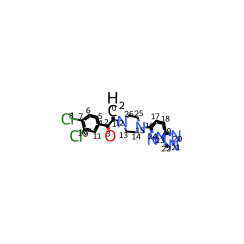 C=C(C(=O)c1ccc(Cl)c(Cl)c1)N1CCN(c2ccc3nncn3n2)CC1